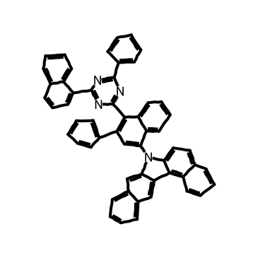 c1ccc(-c2nc(-c3cccc4ccccc34)nc(-c3c(-c4ccccc4)cc(-n4c5cc6ccccc6cc5c5c6ccccc6ccc54)c4ccccc34)n2)cc1